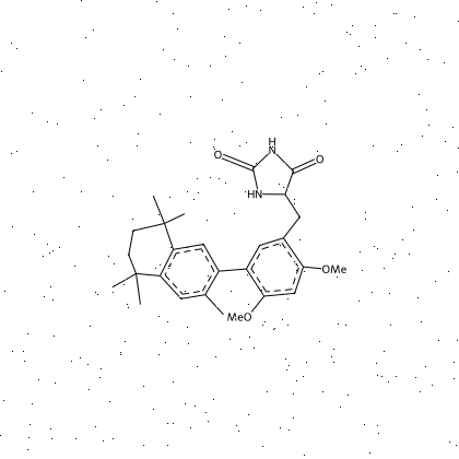 COc1cc(OC)c(-c2cc3c(cc2C)C(C)(C)CCC3(C)C)cc1CC1NC(=O)NC1=O